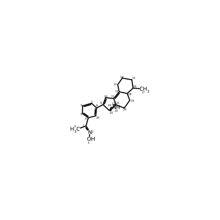 CC(=NO)c1cccc(C2=CC3=C4CCCC(C)C4CCC34CNC=C24)c1